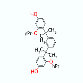 CCCOc1cc(O)ccc1C(C)(C)c1cccc(C(C)(C)c2ccc(O)cc2OCCC)c1